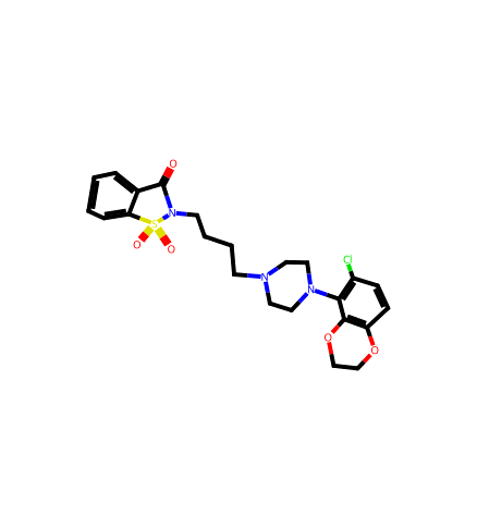 O=C1c2ccccc2S(=O)(=O)N1CCCCN1CCN(c2c(Cl)ccc3c2OCCO3)CC1